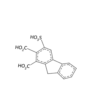 O=C(O)c1c(S(=O)(=O)O)cc2c(c1C(=O)O)Cc1ccccc1-2